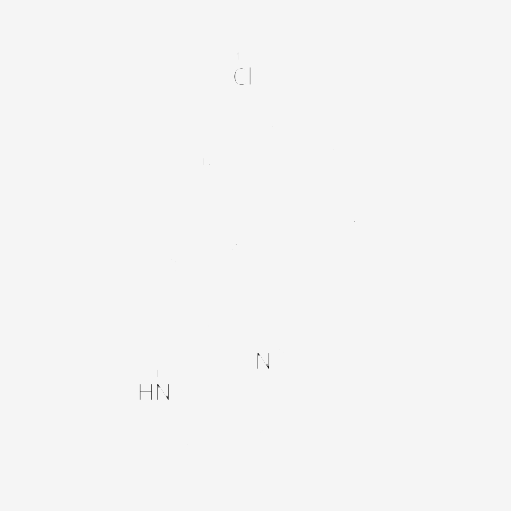 Cc1ccc(C(C)c2ncc[nH]2)cc1Cl